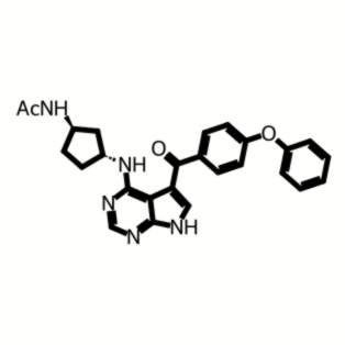 CC(=O)N[C@@H]1CC[C@@H](Nc2ncnc3[nH]cc(C(=O)c4ccc(Oc5ccccc5)cc4)c23)C1